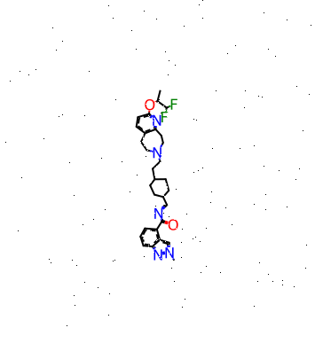 CC(Oc1ccc2c(n1)CCN(CCC1CCC(/C=N/C(=O)c3cccc4nn(C)cc34)CC1)CC2)C(F)F